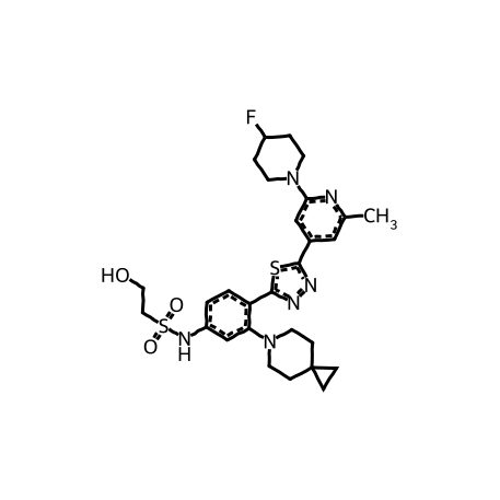 Cc1cc(-c2nnc(-c3ccc(NS(=O)(=O)CCO)cc3N3CCC4(CC3)CC4)s2)cc(N2CCC(F)CC2)n1